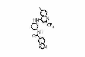 Cc1ccc2nc(C(F)(F)F)cc(N[C@H]3CCC[C@@H](NC(=O)c4ccc5nccn5c4)C3)c2c1